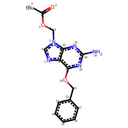 CC(C)(C)C(=O)OCn1cnc2c(OCc3ccccc3)nc(N)nc21